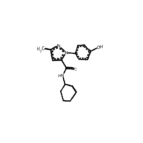 Cc1cc(C(=O)NC2CCCCC2)n(-c2ccc(O)cc2)n1